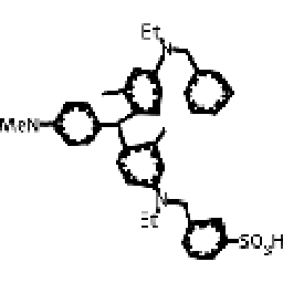 CCN(Cc1ccccc1)c1ccc(C(c2ccc(NC)cc2)c2ccc(N(CC)Cc3cccc(S(=O)(=O)O)c3)cc2C)c(C)c1